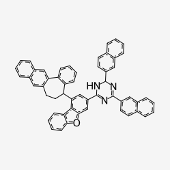 c1ccc2c(c1)-c1cc3ccccc3cc1CCC2c1cc(C2=NC(c3ccc4ccccc4c3)=NC(c3ccc4ccccc4c3)N2)cc2oc3ccccc3c12